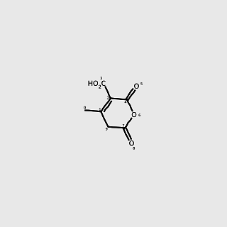 CC1=C(C(=O)O)C(=O)OC(=O)C1